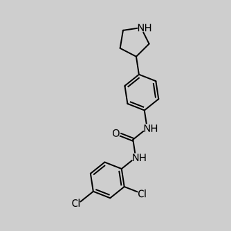 O=C(Nc1ccc(C2CCNC2)cc1)Nc1ccc(Cl)cc1Cl